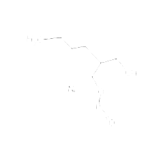 CCCCC(CC)COP=O.[Ni]